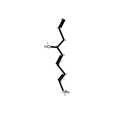 C=CCC(O)/C=C/C=C/CCCC